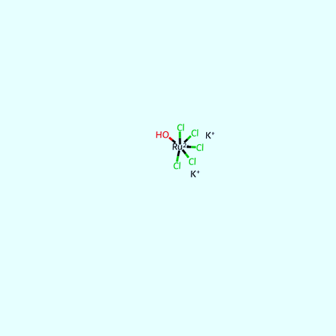 [K+].[K+].[OH][Ru-2]([Cl])([Cl])([Cl])([Cl])[Cl]